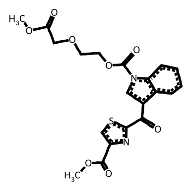 COC(=O)COCCOC(=O)n1cc(C(=O)c2nc(C(=O)OC)cs2)c2ccccc21